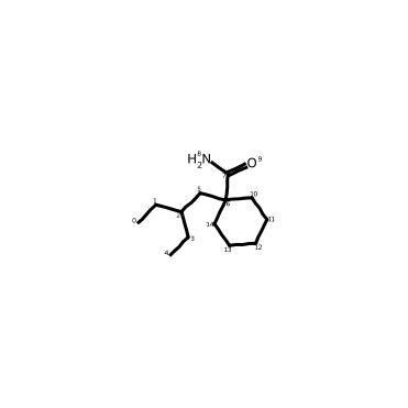 CCC(CC)CC1(C(N)=O)CCCCC1